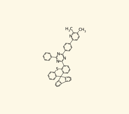 Cc1ccc(-c2ccc(-c3nc(-c4ccccc4)nc(-c4cccc5c4Sc4ccccc4C54c5ccccc5-c5ccccc54)n3)cc2)nc1C